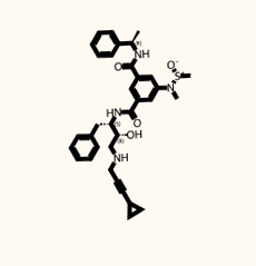 C[C@@H](NC(=O)c1cc(C(=O)N[C@@H](Cc2ccccc2)[C@H](O)CNCC#CC2CC2)cc(N(C)[S+](C)[O-])c1)c1ccccc1